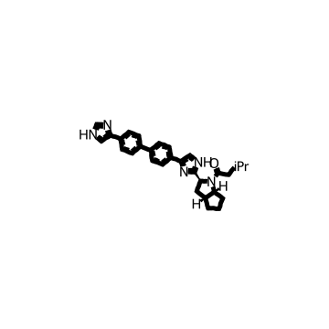 CC(C)CC(=O)N1[C@@H]2CCC[C@@H]2C[C@H]1c1nc(-c2ccc(-c3ccc(-c4c[nH]cn4)cc3)cc2)c[nH]1